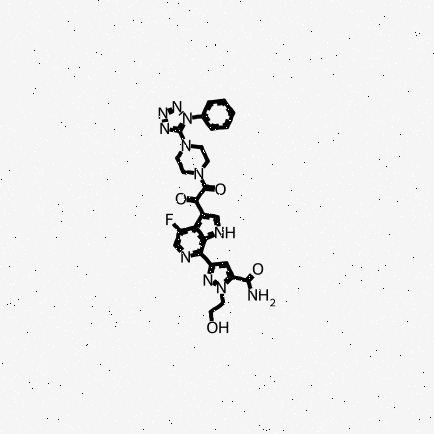 NC(=O)c1cc(-c2ncc(F)c3c(C(=O)C(=O)N4CCN(c5nnnn5-c5ccccc5)CC4)c[nH]c23)nn1CCO